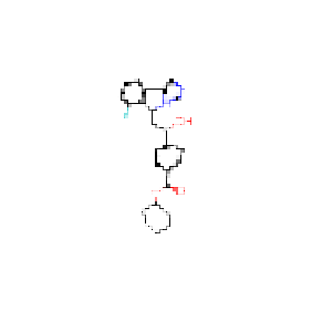 O=C(OC1CCCCC1)c1ccc(C(O)CC2c3c(F)cccc3-c3cncn32)cc1